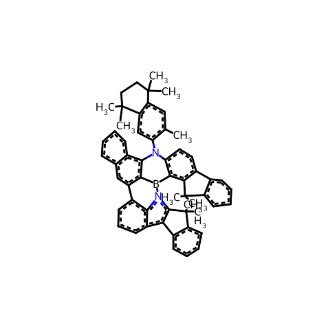 Cc1cc2c(cc1N1c3ccc4c(c3B3c5c(cc6ccccc6c51)-c1cccc5c6c(n3c15)C(C)(C)c1ccccc1-6)C(C)(C)c1ccccc1-4)C(C)(C)CCC2(C)C